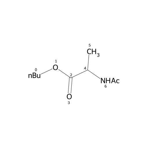 CCCCOC(=O)C(C)NC(C)=O